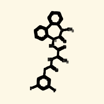 C=C(NC(=O)Cc1cc(F)cc(F)c1)C(=O)N[C@@H]1C(=O)N(C)c2ccccc2-c2ccccc21